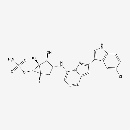 NS(=O)(=O)OC1[C@H]2C[C@@H](Nc3ccnc4cc(-c5c[nH]c6ccc(Cl)cc56)nn34)[C@H](O)[C@@]12O